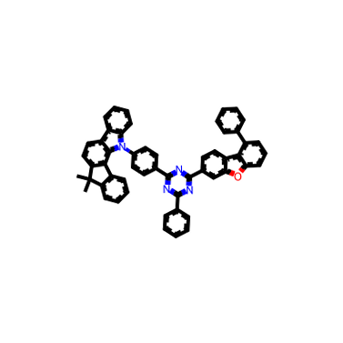 CC1(C)c2ccccc2-c2c1ccc1c3ccccc3n(-c3ccc(-c4nc(-c5ccccc5)nc(-c5ccc6c(c5)oc5cccc(-c7ccccc7)c56)n4)cc3)c21